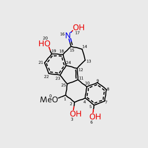 COC1C(O)c2c(O)cccc2C2=C3CCC(=NO)c4c(O)ccc(c43)C21